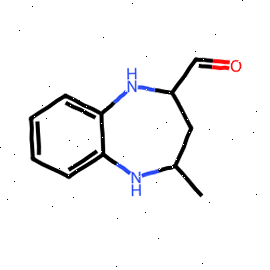 CC1CC(C=O)Nc2ccccc2N1